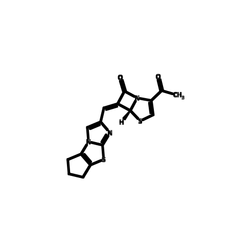 CC(=O)C1=CS[C@@H]2/C(=C\c3cn4c5c(sc4n3)CCC5)C(=O)N12